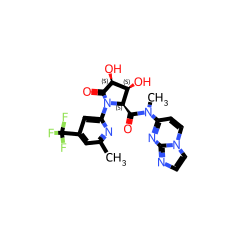 Cc1cc(C(F)(F)F)cc(N2C(=O)[C@@H](O)[C@@H](O)[C@H]2C(=O)N(C)c2ccn3ccnc3n2)n1